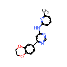 FC(F)(F)c1cccc(Nc2cc(-c3ccc4c(c3)OCCO4)ncn2)n1